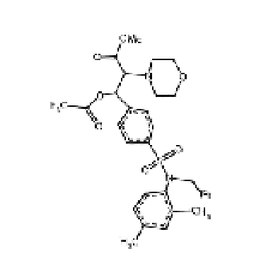 COC(=O)C(C(OC(=O)C(F)(F)F)c1ccc(S(=O)(=O)N(CC(C)C)c2ccc(C)cc2C)cc1)N1CCOCC1